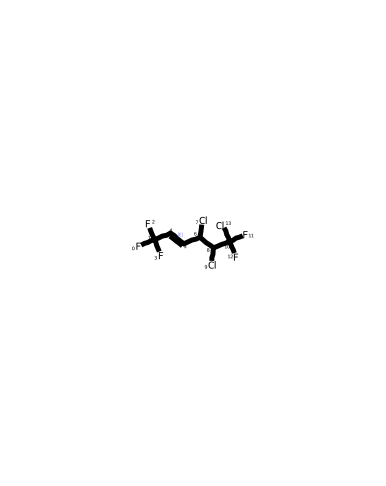 FC(F)(F)/C=C/C(Cl)C(Cl)C(F)(F)Cl